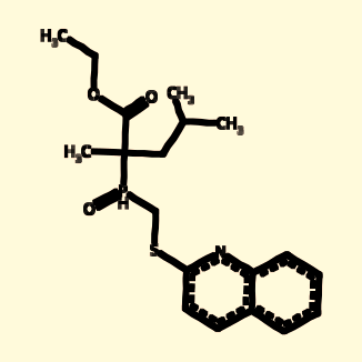 CCOC(=O)C(C)(CC(C)C)[PH](=O)CSc1ccc2ccccc2n1